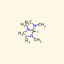 CN(C)[Si](F)(N(C)C)N(C)C